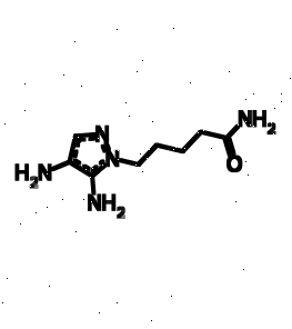 NC(=O)CCCCn1ncc(N)c1N